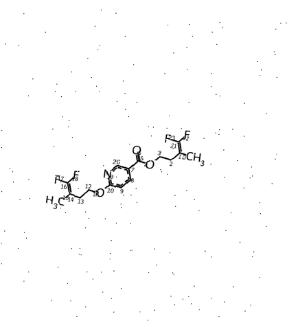 CC(CCOC(=O)c1ccc(OCCC(C)=C(F)F)nc1)=C(F)F